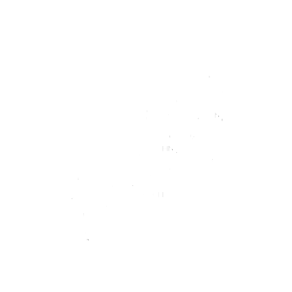 CC(C)(CNC(=O)c1ncc(C(F)(F)F)cc1S(C)(=O)=O)S(=O)(=O)c1cccc(C(F)(F)F)c1